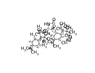 CC1COC(=O)N1.CN(C)c1ccc(P(C(C)(C)C)C(C)(C)C)cc1.CN(C)c1ccc(P(C(C)(C)C)C(C)(C)C)cc1.[Cl][Pd][Cl]